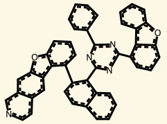 c1ccc(-c2nc(-c3c(-c4cccc5oc6cc7cnccc7cc6c45)ccc4ccccc34)nc(-c3cccc4oc5ccccc5c34)n2)cc1